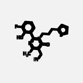 Cc1nc(-c2cccc(F)c2O)n(CCCc2cccs2)c(=O)c1CC(C)C